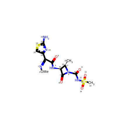 CO/N=C(\C(=O)N[C@@H]1C(=O)N(C(=O)NS(C)(=O)=O)[C@H]1C)c1csc(N)n1